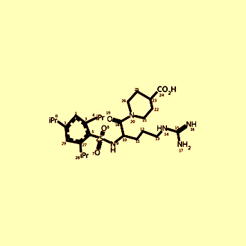 CC(C)c1cc(C(C)C)c(S(=O)(=O)NC(CCCNC(=N)N)C(=O)N2CCC(C(=O)O)CC2)c(C(C)C)c1